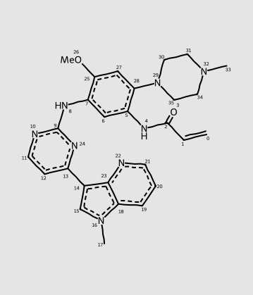 C=CC(=O)Nc1cc(Nc2nccc(-c3cn(C)c4cccnc34)n2)c(OC)cc1N1CCN(C)CC1